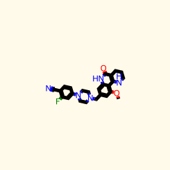 COc1cc(CN2CCN(c3ccc(C#N)c(F)c3)CC2)cc2[nH]c(=O)c3c(c12)NCCC3